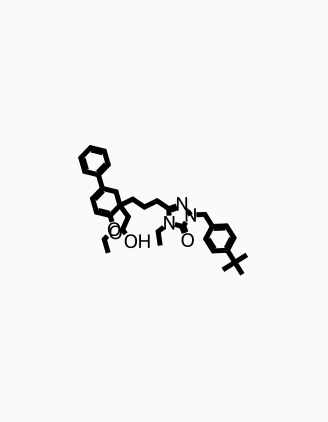 CCOC1=CC=C(c2ccccc2)CC1(CCCc1nn(Cc2ccc(C(C)(C)C)cc2)c(=O)n1CC)CC(=O)O